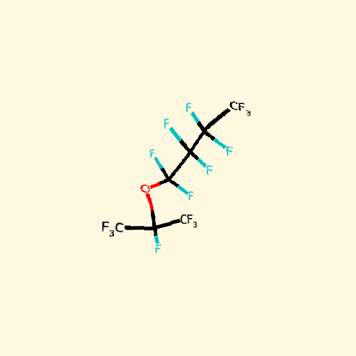 FC(F)(F)C(F)(F)C(F)(F)C(F)(F)OC(F)(C(F)(F)F)C(F)(F)F